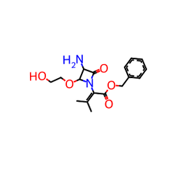 CC(C)=C(C(=O)OCc1ccccc1)N1C(=O)C(N)C1OCCO